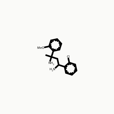 COc1ccccc1C(C)(N)CC(N)c1ccccc1Cl